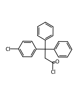 O=C(Cl)CC(c1ccccc1)(c1ccccc1)c1ccc(Cl)cc1